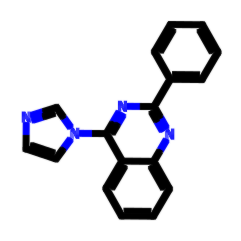 c1ccc(-c2nc(-n3ccnc3)c3ccccc3n2)cc1